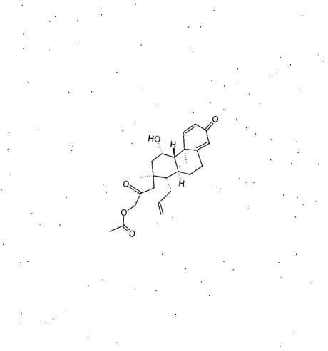 C=CC[C@H]1[C@@H]2CCC3=CC(=O)C=C[C@]3(C)[C@H]2[C@@H](O)C[C@]1(C)CC(=O)COC(C)=O